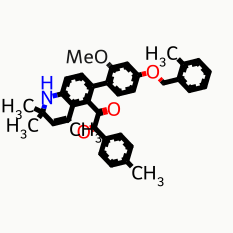 COc1cc(OCc2ccccc2C)ccc1-c1ccc2c(c1C(=O)C(=O)c1ccc(C)cc1)C(C)=CC(C)(C)N2